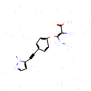 Cn1nccc1C#Cc1ccc(O/C(NN)=C(/N)C(=O)O)cc1